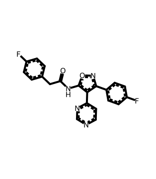 O=C(Cc1ccc(F)cc1)Nc1onc(-c2ccc(F)cc2)c1-c1ccncn1